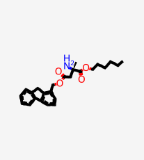 CCCCCCOC(=O)[C@@](C)(N)CC(=O)OCc1cccc2c1Cc1ccccc1-2